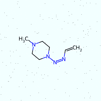 C=C/N=N\N1CCN(C)CC1